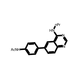 CCCNc1ncnc2ccc(-c3ccc(NC(C)=O)cc3)cc12